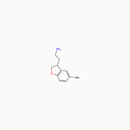 CCCCc1ccc2c(c1)C(CCN)CO2